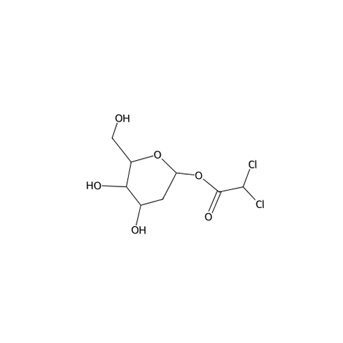 O=C(OC1CC(O)C(O)C(CO)O1)C(Cl)Cl